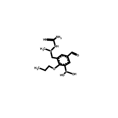 CCCOc1c(CN(C)NC(=N)N)cc(C=O)cc1B(O)O